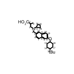 CC(CN(Cc1ccc2cc(O[C@H]3CC[C@H](C(C)(C)C)CC3)ccc2c1)C1CCC1)C(=O)O